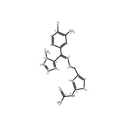 Cc1cc(C(=NOCc2csc(NC(=O)O)n2)c2nnnn2C)ccc1F